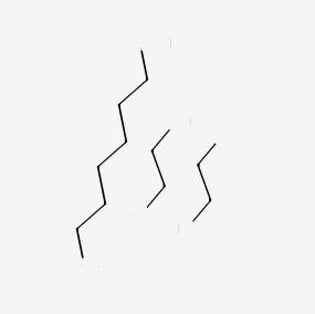 O=C(O)CCCCCCC(=O)O.OCCO.OCCO